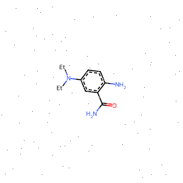 CCN(CC)c1ccc(N)c(C(N)=O)c1